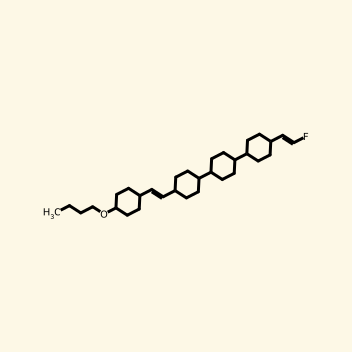 CCCCOC1CCC(/C=C/C2CCC(C3CCC(C4CCC(/C=C/F)CC4)CC3)CC2)CC1